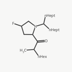 CCCCCCCC(CCCCCCC)N1CC(F)CC1C(=O)C(C)CCCCCC